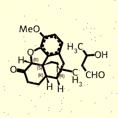 CC(O)CC=O.COc1ccc2c3c1O[C@H]1C(=O)CC[C@H]4[C@@H](C2)N(C)CC[C@]314